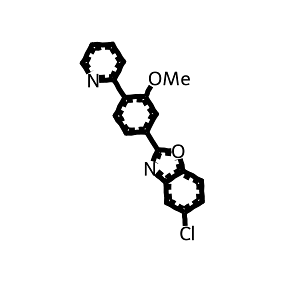 COc1cc(-c2nc3cc(Cl)ccc3o2)ccc1-c1ccccn1